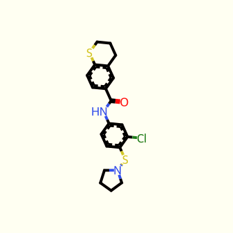 O=C(Nc1ccc(SN2CCCC2)c(Cl)c1)c1ccc2c(c1)CCCS2